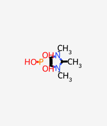 CC1N(C)C=CN1C.OP(O)O